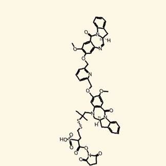 COc1cc2c(cc1OCc1cccc(COc3cc4c(cc3OC)C(=O)N3c5ccccc5C[C@H]3CN4CC(C)(C)SSCCC(C(=O)ON3C(=O)CCC3=O)S(=O)(=O)O)n1)N=C[C@@H]1Cc3ccccc3N1C2=O